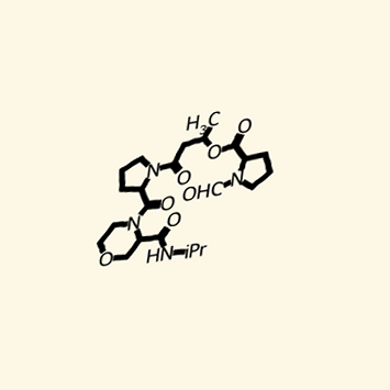 CC(C)NC(=O)C1COCCN1C(=O)C1CCCN1C(=O)CC(C)OC(=O)C1CCCN1C=O